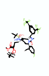 COC(=O)C(=CC[C@]1(N[S@+]([O-])C(C)(C)C)CCN(C(=O)N(C)[C@H](C)c2cc(C(F)(F)F)cc(C(F)(F)F)c2)[C@@H](c2ccc(F)cc2C)C1)O[Si](C)(C)C(C)(C)C